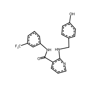 O=C(Nc1cccc(C(F)(F)F)c1)c1cccnc1NCc1ccc(O)cc1